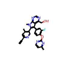 C#Cc1cc(C)c(-c2c(-c3ccc(Oc4nccc(C)n4)c(F)c3)c3c(CO)ncnc3n2C)cn1